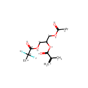 C=C(C)C(=O)OC(COC(=O)CCC)COC(=O)C(F)(F)CC